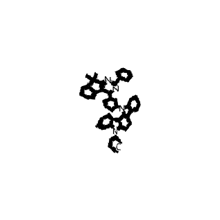 CC1(C)c2ccccc2-c2c(-c3cccc(-n4c5ccccc5c5ccc6c(c7ccccc7n6-c6ccccc6)c54)c3)nc(-c3ccccc3)nc21